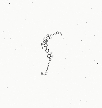 CCCCCCCCCOc1ccc(-c2ccc(-c3ccc(OC(F)(F)C4COC(CCCCC)OC4)c(F)c3F)cc2)c(F)c1F